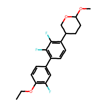 CCOc1ccc(-c2ccc(C3CCC(OC)OC3)c(F)c2F)cc1F